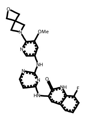 COc1cc(Nc2nccc(Nc3cc4cccc(F)c4[nH]c3=O)n2)cnc1N1CC2(COC2)C1